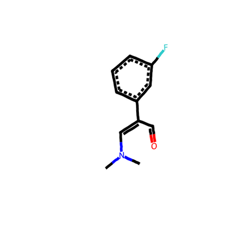 CN(C)C=C(C=O)c1cccc(F)c1